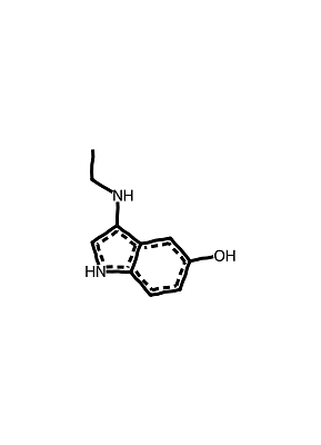 CCNc1c[nH]c2ccc(O)cc12